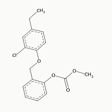 CCc1ccc(OCc2ccccc2OC(=O)OC)c(Cl)c1